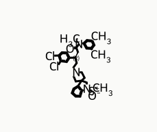 Cc1cc(C)cc(N(C)C(=O)C[C@@H](CCN2CCC3(CC2)CN([S+](C)[O-])c2ccccc23)c2ccc(Cl)c(Cl)c2)c1